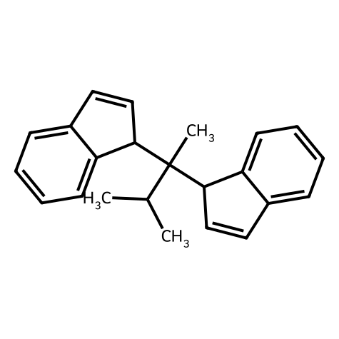 CC(C)C(C)(C1C=Cc2ccccc21)C1C=Cc2ccccc21